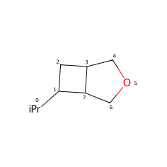 CC(C)C1CC2COCC21